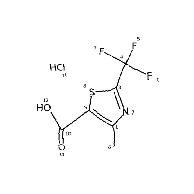 Cc1nc(C(F)(F)F)sc1C(=O)O.Cl